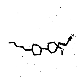 CCCCCC1CCC(C2CCC(C=CC#N)(OC)CC2)CC1